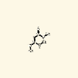 CCOP(CS(=O)OCC)OCC